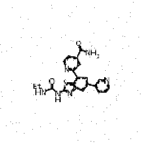 CCNC(=O)Nc1nc2cc(-c3cccnc3)cc(-c3cc(C(N)=O)ccn3)c2s1